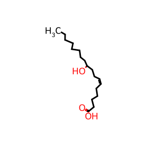 CCCCCCCCC(O)CC/C=C\CCCCC(=O)O